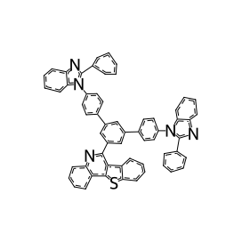 c1ccc(-c2nc3ccccc3n2-c2ccc(-c3cc(-c4ccc(-n5c(-c6ccccc6)nc6ccccc65)cc4)cc(-c4nc5ccccc5c5sc6ccccc6c45)c3)cc2)cc1